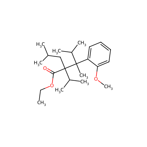 CCOC(=O)C(CC(C)C)(C(C)C)C(C)(c1ccccc1OC)C(C)C